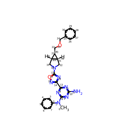 CN(c1ccccc1)c1nc(N)nc(-c2noc(N3C[C@@H]4[C@@H](COCc5ccccc5)[C@@H]4C3)n2)n1